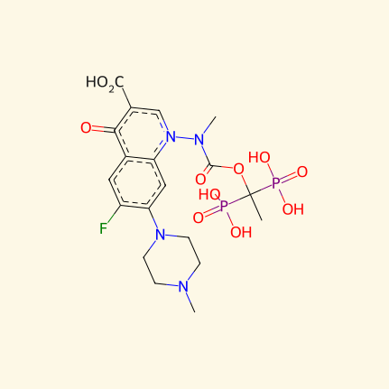 CN1CCN(c2cc3c(cc2F)c(=O)c(C(=O)O)cn3N(C)C(=O)OC(C)(P(=O)(O)O)P(=O)(O)O)CC1